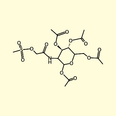 CC(=O)OCC1OC(OC(C)=O)C(NC(=O)COS(C)(=O)=O)[C@@H](OC(C)=O)[C@@H]1OC(C)=O